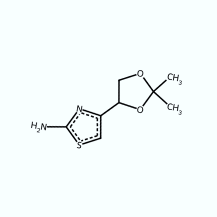 CC1(C)OCC(c2csc(N)n2)O1